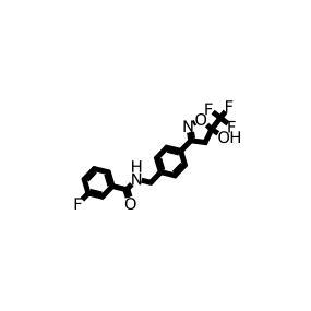 O=C(NCc1ccc(C2=NOC(O)(C(F)(F)F)C2)cc1)c1cccc(F)c1